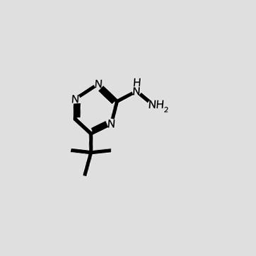 CC(C)(C)c1cnnc(NN)n1